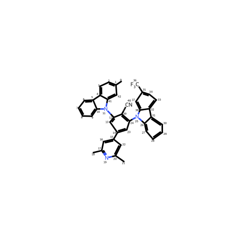 Cc1ccc2c3ccccc3n(-c3cc(-c4cc(C)nc(C)c4)cc(-n4c5ccccc5c5ccc(C(F)(F)F)cc54)c3C#N)c2c1